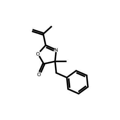 C=C(C)C1=NC(C)(Cc2ccccc2)C(=O)O1